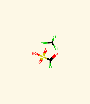 ClC(Cl)Cl.O=C(Cl)S(=O)(=O)O